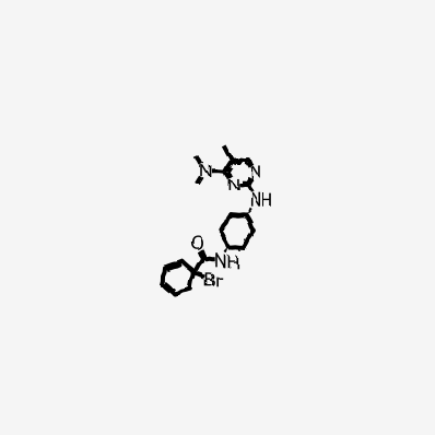 Cc1cnc(N[C@H]2CC[C@@H](NC(=O)C3(Br)C=CC=CC3)CC2)nc1N(C)C